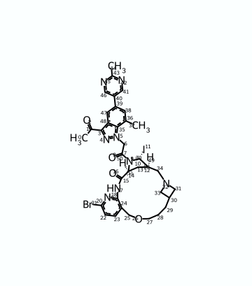 CC(=O)c1nn(CC(=O)N2[C@H](I)[C@@H]3C[C@H]2C(=O)Nc2nc(Br)ccc2COCCCC2CN(C2)C3)c2c(C)cc(-c3cnc(C)nc3)cc12